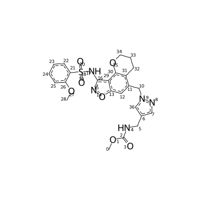 COC(=O)NCc1cnn(Cc2cc3onc(NS(=O)(=O)c4ccccc4OC)c3c3c2CCCO3)c1